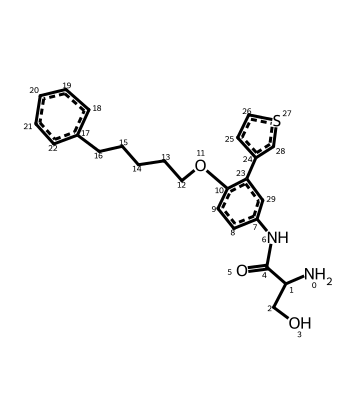 NC(CO)C(=O)Nc1ccc(OCCCCCc2ccccc2)c(-c2ccsc2)c1